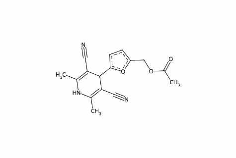 CC(=O)OCc1ccc(C2C(C#N)=C(C)NC(C)=C2C#N)o1